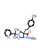 CC(C)(C)NC(=O)[C@]1(CCc2ccc(C#N)cc2)CCN(C(C)(C)c2ccccn2)C1